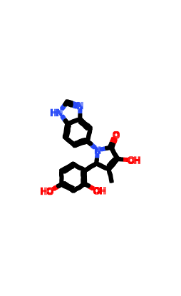 CC1=C(O)C(=O)N(c2ccc3[nH]cnc3c2)C1c1ccc(O)cc1O